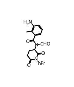 CCCN1C(=O)CCC(N(C=O)C(=O)c2cccc(N)c2C)C1=O